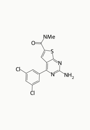 CNC(=O)c1cc2c(-c3cc(Cl)cc(Cl)c3)nc(N)nc2s1